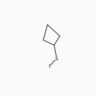 ISC1CCC1